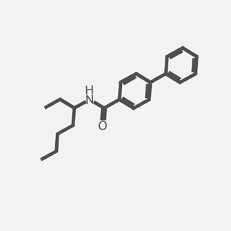 CCCCC(CC)NC(=O)c1ccc(-c2ccccc2)cc1